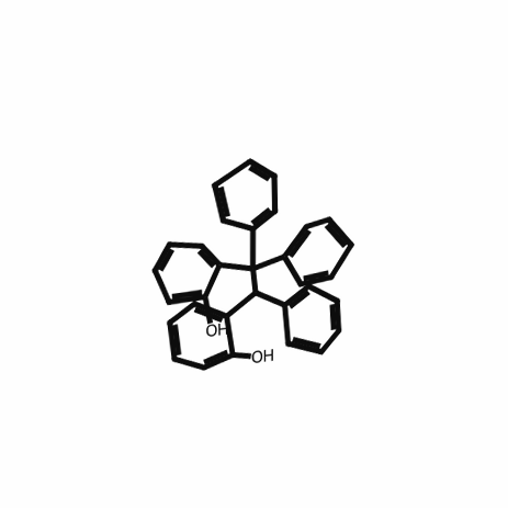 Oc1ccccc1C(c1ccccc1)C(c1ccccc1)(c1ccccc1)c1ccccc1O